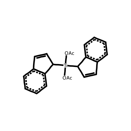 CC(=O)[O][Ti]([O]C(C)=O)([CH]1C=Cc2ccccc21)[CH]1C=Cc2ccccc21